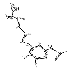 CC(=O)Nc1cc(F)c(C)c(C=CCCC(=O)O)c1